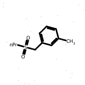 CCCS(=O)(=O)Cc1cccc(C)c1